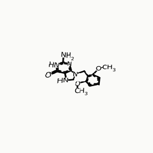 COc1cccc(OC)c1CN1CNc2c1nc(N)[nH]c2=O